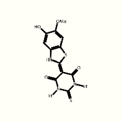 CCN1C(=O)C(=C2Nc3cc(O)c(OC)cc3S2)C(=O)N(CC)C1=S